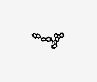 c1ccc2c(c1)-c1cccc3c1c-2cc1c2ccccc2n(-c2ccc4cc(-c5ccc6ccccc6c5)ccc4c2)c31